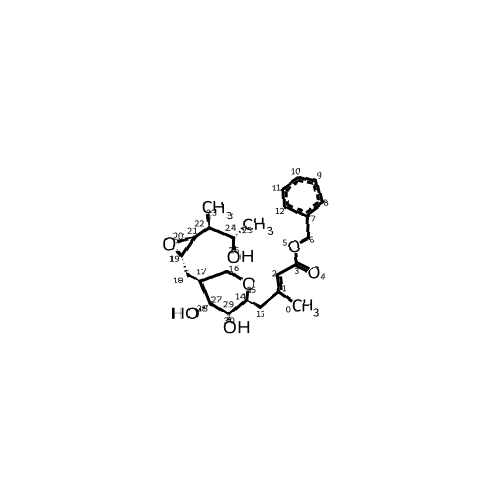 C/C(=C\C(=O)OCc1ccccc1)C[C@@H]1OC[C@H](C[C@@H]2O[C@H]2[C@@H](C)[C@H](C)O)[C@@H](O)[C@H]1O